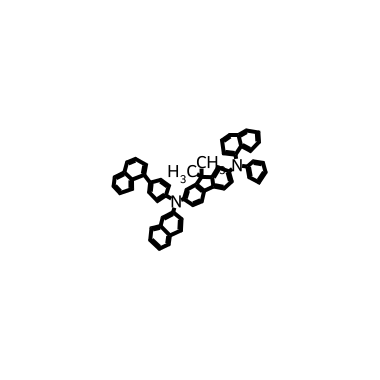 CC1(C)c2cc(N(c3ccc(-c4cccc5ccccc45)cc3)c3ccc4ccccc4c3)ccc2-c2ccc(N(c3ccccc3)c3cccc4ccccc34)cc21